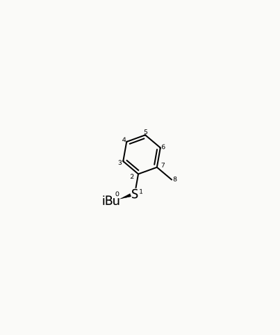 CC[C@H](C)Sc1ccccc1C